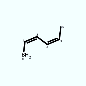 B/C=C\C=C/C